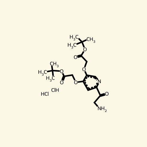 CC(C)(C)OC(=O)COc1cnc(C(=O)CN)cc1OCC(=O)OC(C)(C)C.Cl.Cl